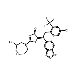 O=C1N=C(N2CCNCC(O)C2)SC1=C(Cc1ccc(Cl)cc1C(F)(F)F)c1ccc2[nH]ncc2c1